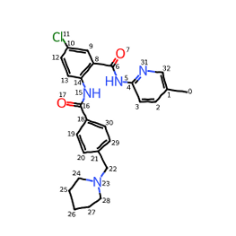 Cc1ccc(NC(=O)c2cc(Cl)ccc2NC(=O)c2ccc(CN3CCCCC3)cc2)nc1